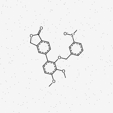 COc1ccc(-c2ccc3c(c2)COC3=O)c(OCc2cccc([S+](C)[O-])c2)c1OC